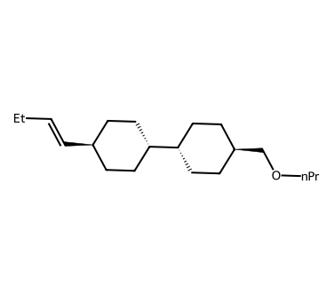 CCC=C[C@H]1CC[C@H]([C@H]2CC[C@H](COCCC)CC2)CC1